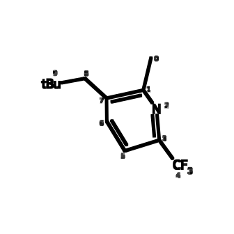 Cc1nc(C(F)(F)F)ccc1CC(C)(C)C